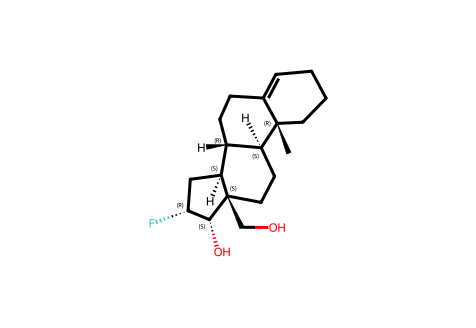 C[C@]12CCCC=C1CC[C@H]1[C@@H]3C[C@@H](F)[C@@H](O)[C@@]3(CO)CC[C@@H]12